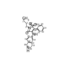 CCCCN1C(=O)C(Nc2ccc3c(c2)CCNC3)=C(c2ccccc2)S1(=O)=O